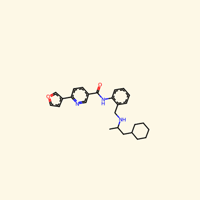 CC(CC1CCCCC1)NCc1ccccc1NC(=O)c1ccc(-c2ccoc2)nc1